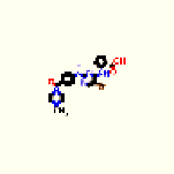 CN1CCN(C(=O)c2ccc(Nc3ncc(Br)c(N[C@@H]4CCC[C@@H]4C(=O)O)n3)cc2)CC1